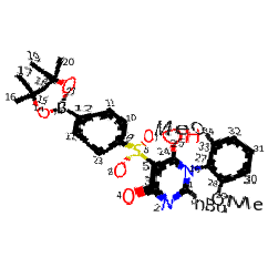 CCCCc1nc(=O)c(S(=O)(=O)c2ccc(B3OC(C)(C)C(C)(C)O3)cc2)c(O)n1-c1c(OC)cccc1OC